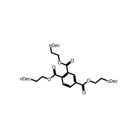 CCCCCCCCCCCCOC(=O)c1ccc(C(=O)OCCCCCCCCCCCC)c(C(=O)OCCCCCCCCCCCC)c1